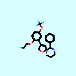 FCCOc1ccc(OC(F)(F)F)cc1C1=C[C@]2(CCCNC2c2ccccc2)OC1